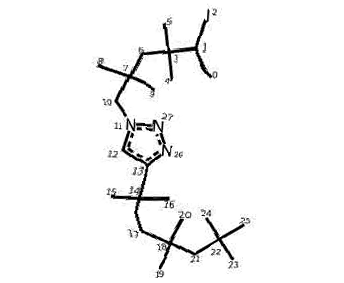 CC(I)C(C)(C)CC(C)(C)Cn1cc(C(C)(C)CC(C)(C)CC(C)(C)C)nn1